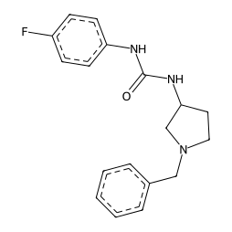 O=C(Nc1ccc(F)cc1)NC1CCN(Cc2ccccc2)C1